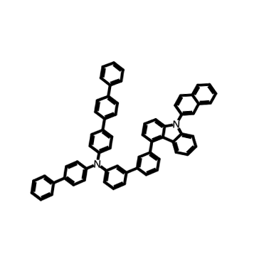 c1ccc(-c2ccc(-c3ccc(N(c4ccc(-c5ccccc5)cc4)c4cccc(-c5cccc(-c6cccc7c6c6ccccc6n7-c6ccc7ccccc7c6)c5)c4)cc3)cc2)cc1